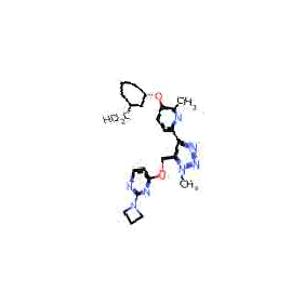 Cc1nc(-c2nnn(C)c2COc2ccnc(N3CCC3)n2)ccc1O[C@H]1CCC[C@H](C(=O)O)C1